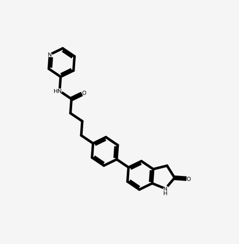 O=C(CCCc1ccc(-c2ccc3c(c2)CC(=O)N3)cc1)Nc1cccnc1